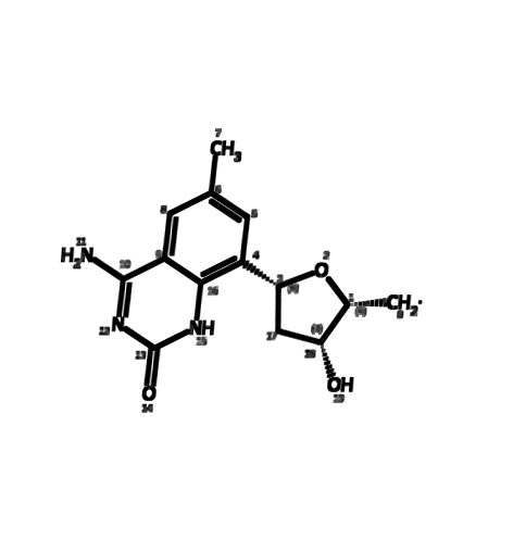 [CH2][C@H]1O[C@@H](c2cc(C)cc3c(N)nc(=O)[nH]c23)C[C@H]1O